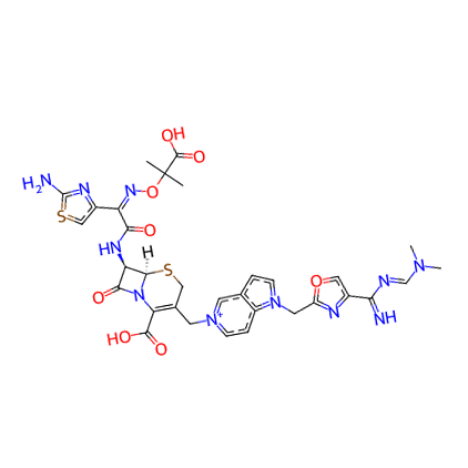 CN(C)/C=N/C(=N)c1coc(Cn2ccc3c[n+](CC4=C(C(=O)O)N5C(=O)[C@@H](NC(=O)/C(=N\OC(C)(C)C(=O)O)c6csc(N)n6)[C@H]5SC4)ccc32)n1